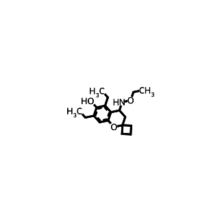 CCONC1CC2(CCC2)Oc2cc(CC)c(O)c(CC)c21